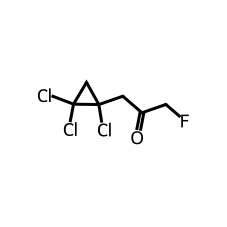 O=C(CF)CC1(Cl)CC1(Cl)Cl